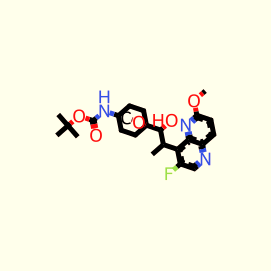 COc1ccc2ncc(F)c(C(C)C(O)C34CCC(NC(=O)OC(C)(C)C)(CC3)CO4)c2n1